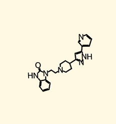 O=c1[nH]c2ccccc2n1CCN1CCC(c2cc(-c3cccnc3)[nH]n2)CC1